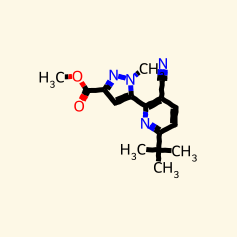 COC(=O)c1cc(-c2nc(C(C)(C)C)ccc2C#N)n(C)n1